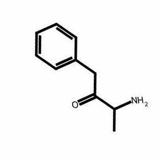 C[C](N)C(=O)Cc1ccccc1